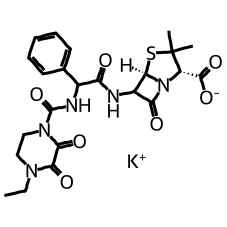 CCN1CCN(C(=O)NC(C(=O)NC2C(=O)N3[C@@H]2SC(C)(C)[C@@H]3C(=O)[O-])c2ccccc2)C(=O)C1=O.[K+]